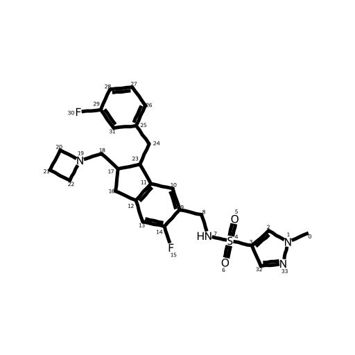 Cn1cc(S(=O)(=O)NCc2cc3c(cc2F)CC(CN2CCC2)C3Cc2cccc(F)c2)cn1